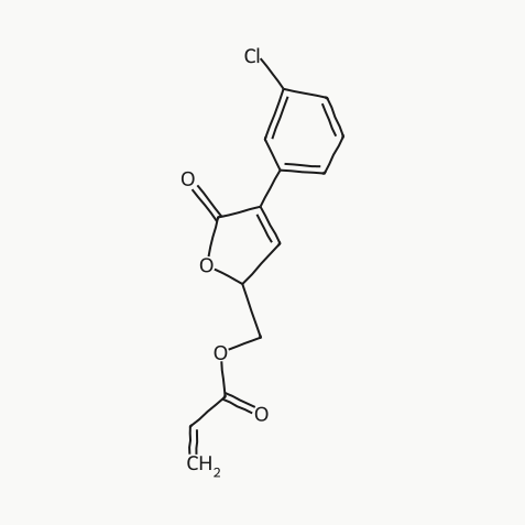 C=CC(=O)OCC1C=C(c2cccc(Cl)c2)C(=O)O1